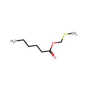 CCCCCC(=O)OCSC